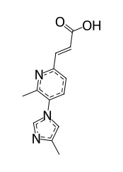 Cc1cn(-c2ccc(/C=C/C(=O)O)nc2C)cn1